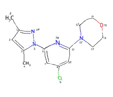 Cc1cc(C)n(-c2cc(Cl)cc(N3CCOCC3)n2)n1